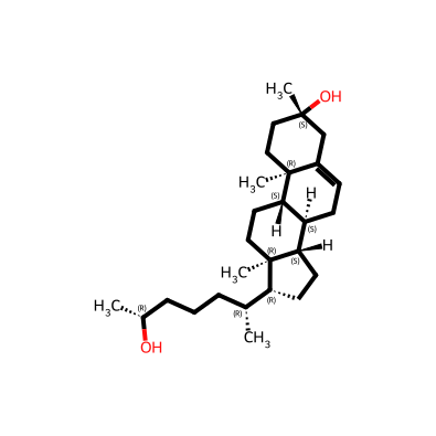 C[C@H](CCC[C@@H](C)O)[C@H]1CC[C@H]2[C@@H]3CC=C4C[C@@](C)(O)CC[C@]4(C)[C@H]3CC[C@]12C